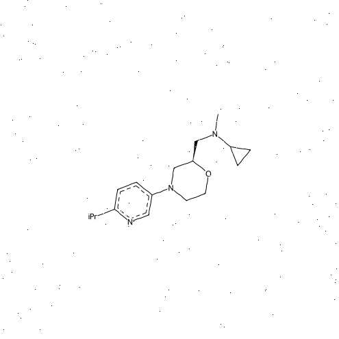 CC(C)c1ccc(N2CCO[C@H](CN(C)C3CC3)C2)cn1